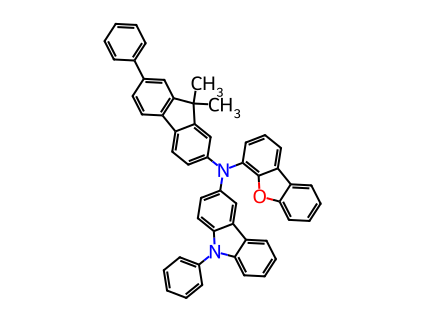 CC1(C)c2cc(-c3ccccc3)ccc2-c2ccc(N(c3ccc4c(c3)c3ccccc3n4-c3ccccc3)c3cccc4c3oc3ccccc34)cc21